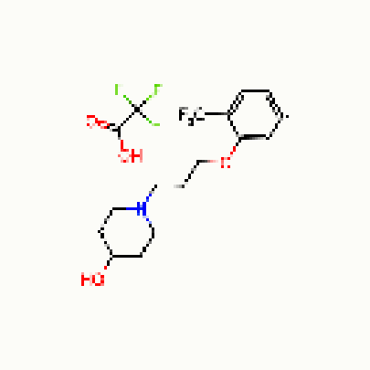 O=C(O)C(F)(F)F.OC1CCN(CCCOc2c[c]ccc2C(F)(F)F)CC1